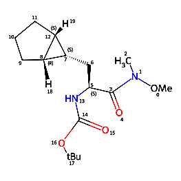 CON(C)C(=O)[C@H](C[C@@H]1[C@@H]2CCC[C@@H]21)NC(=O)OC(C)(C)C